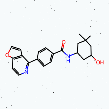 CC1(C)CC(O)CC(NC(=O)c2ccc(-c3nccc4occc34)cc2)C1